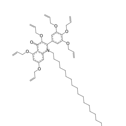 C=CCOc1cc(OCC=C)c2c(=O)c(OCC=C)c(-c3cc(OCC=C)c(OCC=C)c(OCC=C)c3)n(CCCCCCCCCCCCCCCCCC)c2c1